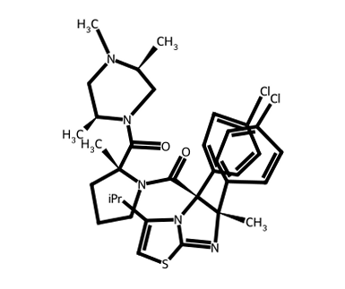 CC(C)C1=CSC2=N[C@@](C)(c3ccc(Cl)cc3)[C@@](C(=O)N3CCC[C@]3(C)C(=O)N3C[C@H](C)N(C)C[C@@H]3C)(c3ccc(Cl)cc3)N12